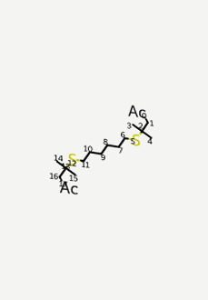 CC(=O)CC(C)(C)SCCCCCCSC(C)(C)CC(C)=O